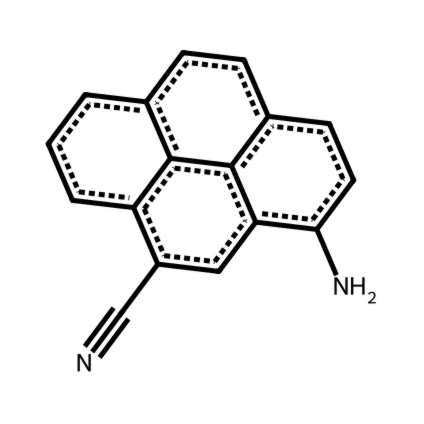 N#Cc1cc2c(N)ccc3ccc4cccc1c4c32